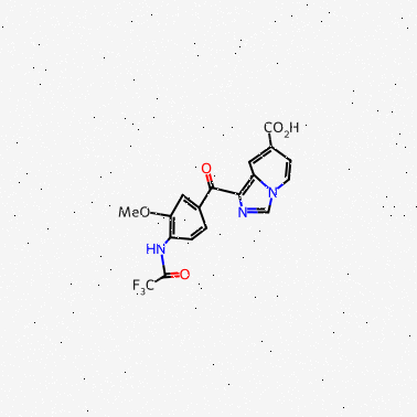 COc1cc(C(=O)c2ncn3ccc(C(=O)O)cc23)ccc1NC(=O)C(F)(F)F